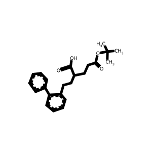 CC(C)(C)OC(=O)CCC(CCc1ccccc1-c1ccccc1)C(=O)O